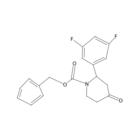 O=C1CCN(C(=O)OCc2ccccc2)C(c2cc(F)cc(F)c2)C1